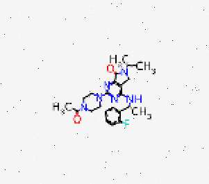 CC(=O)N1CCN(c2nc(N[C@H](C)c3ccccc3F)c3c(n2)C(=O)N(C(C)C)C3)CC1